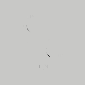 CCCO[C@H]1CC[C@@H](C(N)=O)CC1